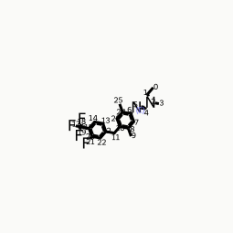 CCN(C)/C=N/c1cc(C)c(Cc2ccc(C(F)(F)F)c(F)c2)cc1C